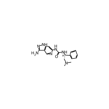 CN(C)C[C@H](NC(=O)Nc1cc2[nH]nc(N)c2cn1)c1ccccc1